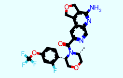 C[C@@H]1COC[C@H](c2ccc(OC(F)(F)F)cc2F)N1C(=O)c1cc2c3c(c(N)nc2cn1)COC3